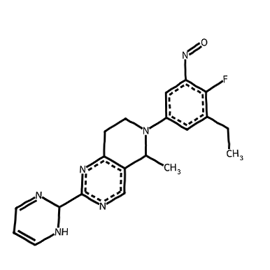 CCc1cc(N2CCc3nc(C4N=CC=CN4)ncc3C2C)cc(N=O)c1F